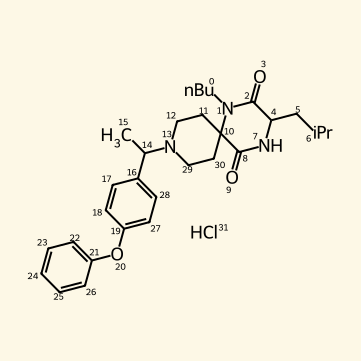 CCCCN1C(=O)C(CC(C)C)NC(=O)C12CCN(C(C)c1ccc(Oc3ccccc3)cc1)CC2.Cl